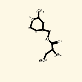 CC1CC(COC(=O)C(CC(C)(C)C)C(C)(C)C)CCO1